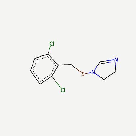 Clc1cccc(Cl)c1CSN1C=NCC1